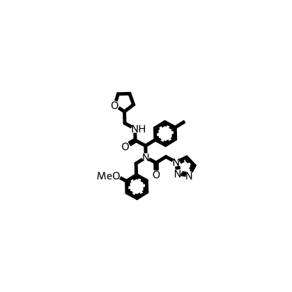 COc1ccccc1CN(C(=O)Cn1ccnn1)C(C(=O)NCC1CCCO1)c1ccc(C)cc1